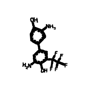 Nc1cc(-c2cc(N)c(O)c(C(F)(F)C(F)(F)F)c2)ccc1O